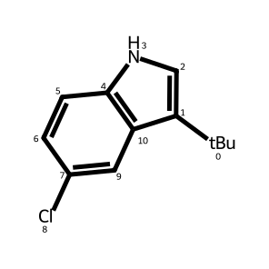 CC(C)(C)c1c[nH]c2ccc(Cl)cc12